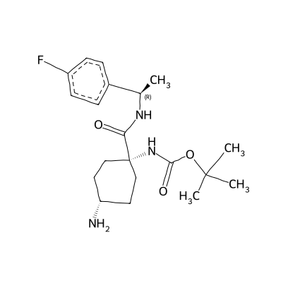 C[C@@H](NC(=O)[C@]1(NC(=O)OC(C)(C)C)CC[C@@H](N)CC1)c1ccc(F)cc1